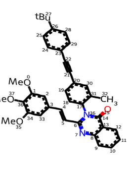 COc1cc(/C=C/c2nc3ccccc3c(=O)n2-c2ccc(C#Cc3ccc(C(C)(C)C)cc3)cc2C)cc(OC)c1OC